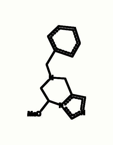 COC1CN(Cc2ccccc2)Cc2cncn21